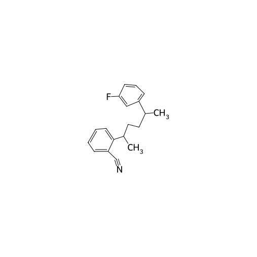 CC(CCC(C)c1ccccc1C#N)c1cccc(F)c1